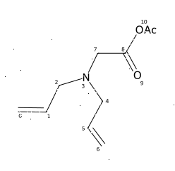 C=CCN(CC=C)CC(=O)OC(C)=O